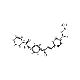 CN(CCO)c1ccc(/C=C/C(=O)c2ccc(NC(=O)C3C=CCCC3)cc2)cc1